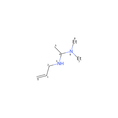 C=CCNC(C)N(CC)CC